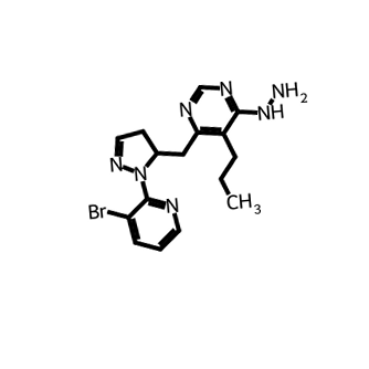 CCCc1c(CC2CC=NN2c2ncccc2Br)ncnc1NN